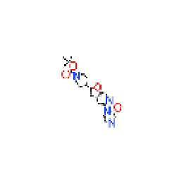 CC(C)(C)OC(=O)N1CCC(C2Cc3cc(-n4ccncc4=O)ncc3O2)CC1